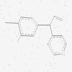 Cc1ccc(C(C=O)c2ccncc2)cc1C